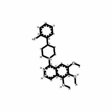 COc1cc2c(N3CCC(c4ccccc4F)CC3)nncc2c(OC)c1OC